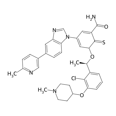 Cc1ccc(-c2ccc3c(c2)ncn3C2=CC(O[C@H](C)c3cccc(OC4CCN(C)CC4)c3Cl)C(=S)C(C(N)=O)=C2)cn1